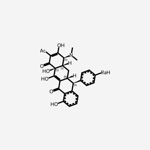 CC(=O)C1=C(O)[C@@H](N(C)C)[C@@H]2C[C@H]3C(=C(O)[C@]2(O)C1=O)C(=O)c1c(O)cccc1[C@@H]3c1cc[c]([RaH])cc1